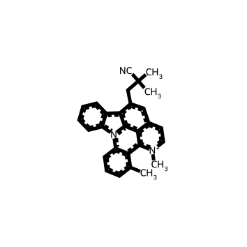 Cc1cccc2c1c1c3c(cc[n+]1C)cc(CC(C)(C)C#N)c1c4ccccc4n2c13